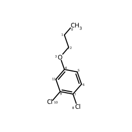 CC[CH]Oc1ccc(Cl)c(Cl)c1